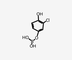 OB(O)Oc1ccc(O)c(Cl)c1